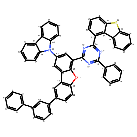 c1ccc(-c2cccc(-c3ccc4oc5c(-c6nc(-c7ccccc7)nc(-c7cccc8sc9ccccc9c78)n6)cc(-n6c7ccccc7c7ccccc76)cc5c4c3)c2)cc1